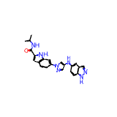 CC(C)NC(=O)c1cc2ccc(-n3cc(Nc4ccc5[nH]ncc5c4)cn3)cc2[nH]1